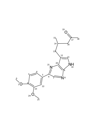 COc1ccc(-c2cnc3[nH]cc(CC(C)CC(C)=O)c3n2)cc1OC